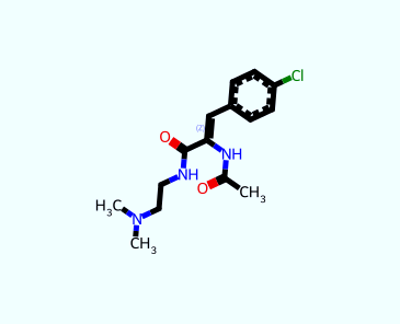 CC(=O)N/C(=C\c1ccc(Cl)cc1)C(=O)NCCN(C)C